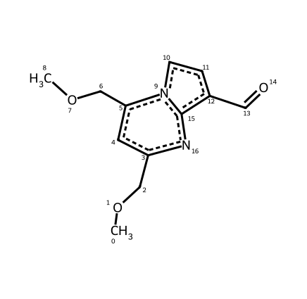 COCc1cc(COC)n2ccc(C=O)c2n1